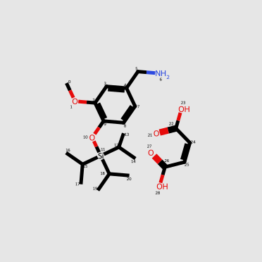 COc1cc(CN)ccc1O[Si](C(C)C)(C(C)C)C(C)C.O=C(O)/C=C\C(=O)O